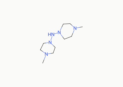 CN1CCN(NN2CCN(C)CC2)CC1